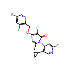 Cc1cc(OCc2ncc(F)cc2F)c(Cl)c(=O)n1-c1cc(Cl)ncc1C1CC1